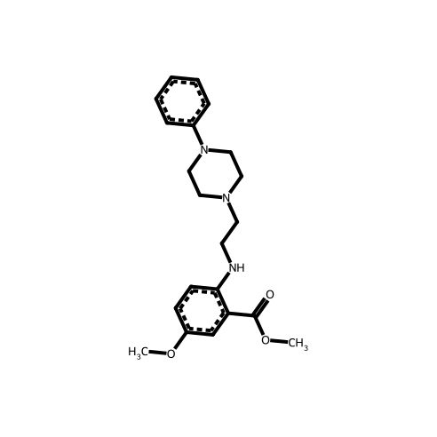 COC(=O)c1cc(OC)ccc1NCCN1CCN(c2ccccc2)CC1